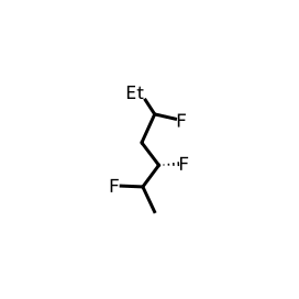 [CH2]CC(F)C[C@H](F)C(C)F